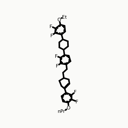 CCCOc1ccc(C2=CCC(CCc3ccc(C4CCC(c5ccc(OCC)c(F)c5F)CC4)c(F)c3F)CC2)c(F)c1F